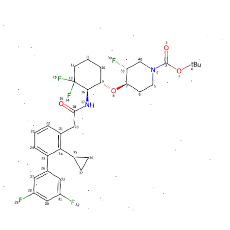 CC(C)(C)OC(=O)N1CC[C@@H](O[C@H]2CCCC(F)(F)[C@@H]2NC(=O)Cc2cccc(-c3cc(F)cc(F)c3)c2C2CC2)[C@H](F)C1